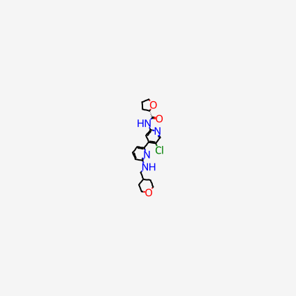 O=C(Nc1cc(-c2cccc(NCC3CCOCC3)n2)c(Cl)cn1)[C@@H]1CCCO1